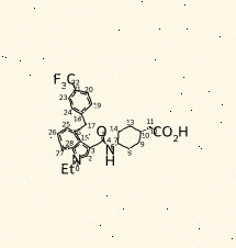 CCn1cc(C(=O)N[C@H]2CC[C@H](CC(=O)O)CC2)c2c(Cc3ccc(C(F)(F)F)cc3)cccc21